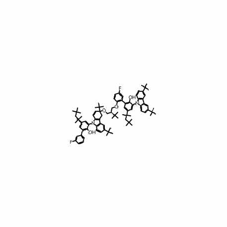 CC(C)(C)CC(C)(C)c1cc(-c2cccc(F)c2)c(O)c(-n2c3c(c4cc(C(C)(C)C)ccc42)CC(OCC(COc2ccc(F)cc2-c2cc(C(C)(C)CC(C)(C)C)cc(-n4c5ccc(C(C)(C)C)cc5c5cc(C(C)(C)C)ccc54)c2O)C(C)(C)C)(C(C)(C)C)C=C3)c1